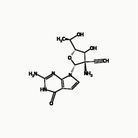 C#C[C@@]1(N)C(O)[C@@H]([C@@H](C)O)O[C@H]1n1ccc2c(=O)[nH]c(N)nc21